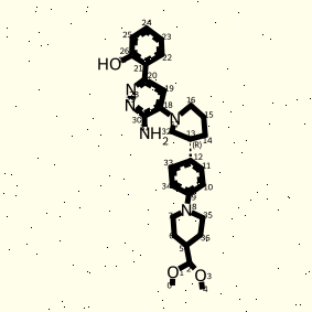 COC(OC)C1CCN(c2ccc([C@H]3CCCN(c4cc(-c5ccccc5O)nnc4N)C3)cc2)CC1